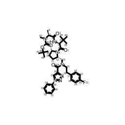 C[C@@H](C(=O)N[C@H](C(=O)N1CCC[C@H]1CN(CCc1ccc(F)cc1)C(=O)c1cn(-c2ccccc2)nn1)C(C)(C)C)N(C)C(=O)OC(C)(C)C